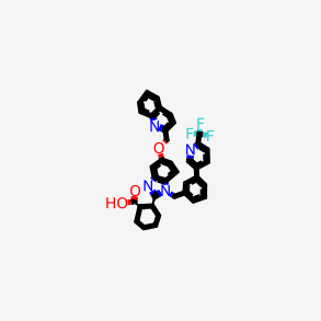 O=C(O)[C@@H]1CCCC[C@@H]1c1nc2cc(OCc3ccc4ccccc4n3)ccc2n1Cc1cccc(-c2ccc(C(F)(F)F)nc2)c1